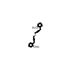 CC(=O)Oc1ccccc1CC#CCSCC#CCc1ccccc1OC(C)=O